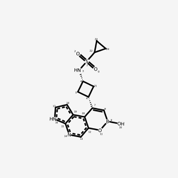 O=S(=O)(N[C@H]1C[C@@H](C2=CB(O)Oc3cnc4[nH]ccc4c32)C1)C1CC1